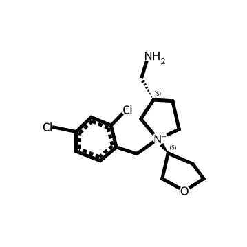 NC[C@@H]1CC[N+](Cc2ccc(Cl)cc2Cl)([C@H]2CCOC2)C1